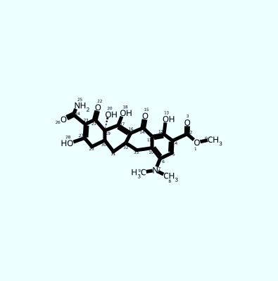 COC(=O)c1cc(N(C)C)c2c(c1O)C(=O)C1=C(O)[C@]3(O)C(=O)C(C(N)=O)=C(O)CC3CC1C2